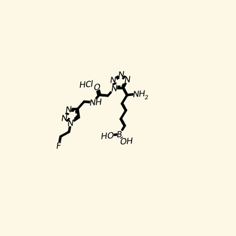 Cl.NC(CCCCB(O)O)c1nnnn1CC(=O)NCc1cn(CCF)nn1